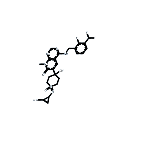 CCCCC1CC1N=S1(=O)CCC(C#N)(c2cc3c(NCc4cccc(C(F)F)c4F)ncnc3n(C)c2=O)CC1